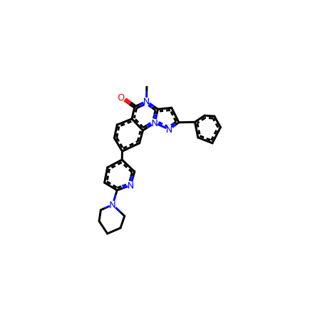 Cn1c(=O)c2ccc(-c3ccc(N4CCCCC4)nc3)cc2n2nc(-c3ccccc3)cc12